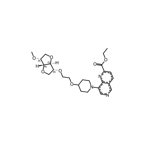 CCOC(=O)c1ccc2cncc(N3CCC(OCCO[C@@H]4CO[C@H]5[C@H]4OC[C@H]5OC)CC3)c2n1